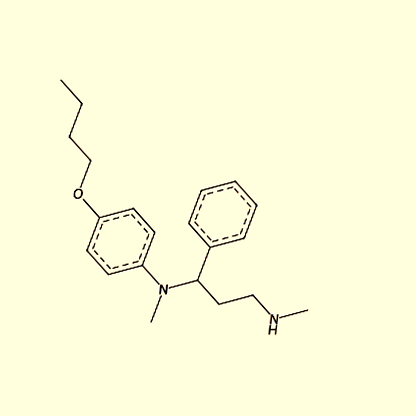 CCCCOc1ccc(N(C)C(CCNC)c2ccccc2)cc1